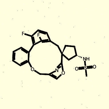 CS(=O)(=O)N[C@H]1CC[C@@]2(Cc3ccc(F)c(c3F)-c3ccccc3OCc3coc2n3)C1